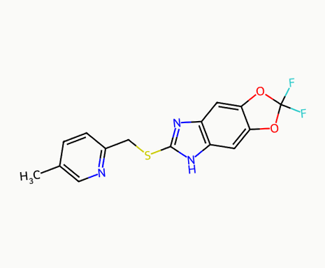 Cc1ccc(CSc2nc3cc4c(cc3[nH]2)OC(F)(F)O4)nc1